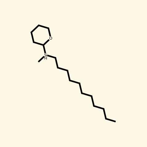 CCCCCCCCCCC[SiH](C)C1CCCCO1